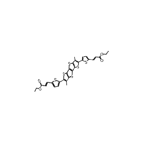 CCOC(=O)/C=C/c1ccc(-c2sc3c(sc4c5sc(-c6ccc(/C=C/C(=O)OCC)s6)c(C)c5sc34)c2C)s1